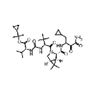 CC(C)[C@H](NC(=O)N[C@H](C(=O)N1C[C@H]2[C@@H]([C@H]1C(=O)NC(CC1CC1)C(=O)C(N)=O)C2(C)C)C(C)(C)C)C(=O)OC(C)(C)C1CC1